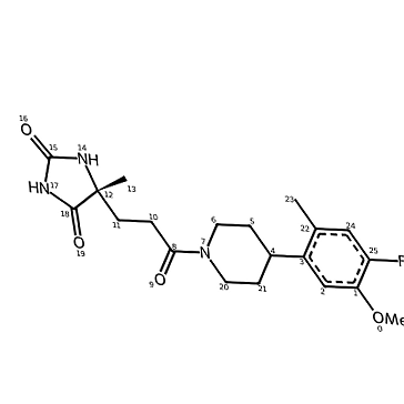 COc1cc(C2CCN(C(=O)CC[C@@]3(C)NC(=O)NC3=O)CC2)c(C)cc1F